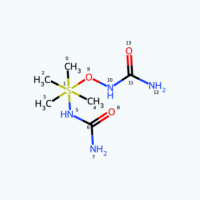 CS(C)(C)(C)(NC(N)=O)ONC(N)=O